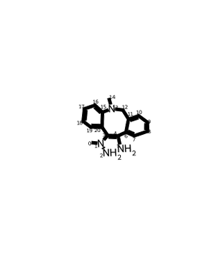 CN(N)/C1=C(\N)c2ccccc2CN(C)c2ccccc21